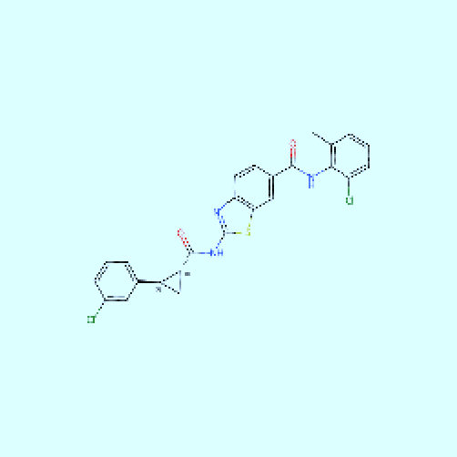 Cc1cccc(Cl)c1NC(=O)c1ccc2nc(NC(=O)[C@@H]3C[C@H]3c3cccc(Cl)c3)sc2c1